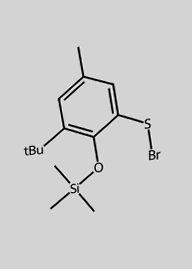 Cc1cc(SBr)c(O[Si](C)(C)C)c(C(C)(C)C)c1